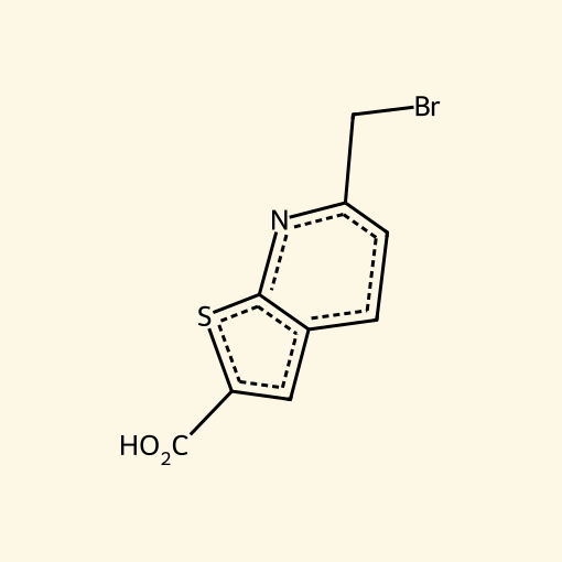 O=C(O)c1cc2ccc(CBr)nc2s1